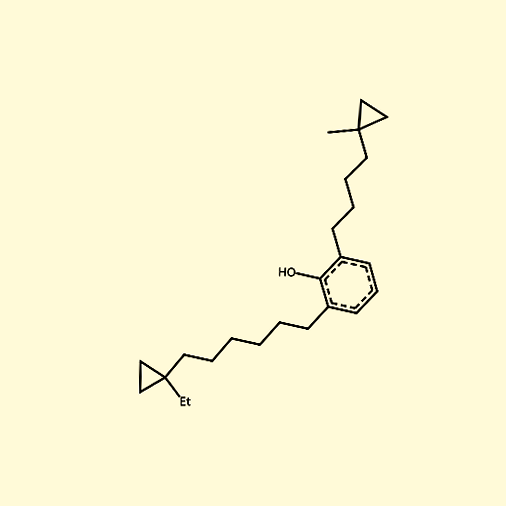 CCC1(CCCCCCc2cccc(CCCCC3(C)CC3)c2O)CC1